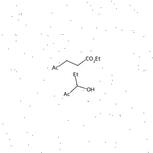 CCC(O)C(C)=O.CCOC(=O)CCC(C)=O